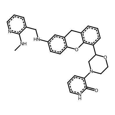 CNc1ncccc1CNc1ccc2c(c1)Cc1cccc(C3CN(c4ccc[nH]c4=O)CCO3)c1O2